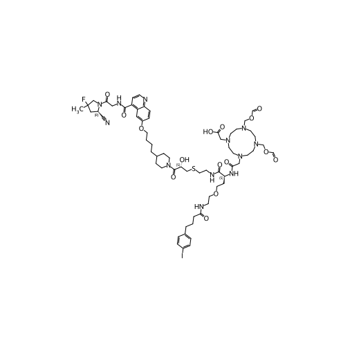 CC1(F)C[C@H](C#N)N(C(=O)CNC(=O)c2ccnc3ccc(OCCCCC4CCN(C(=O)[C@H](O)CSCCNC(=O)[C@H](CCOCCNC(=O)CCCc5ccc(I)cc5)NC(=O)CN5CCN(COC=O)CCN(COC=O)CCN(CC(=O)O)CC5)CC4)cc23)C1